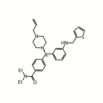 C=CCN1CCN([C@H](c2ccc(C(=O)N(CC)CC)cc2)c2cccc(NCc3cccs3)c2)CC1